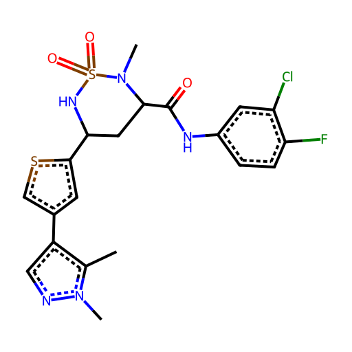 Cc1c(-c2csc(C3CC(C(=O)Nc4ccc(F)c(Cl)c4)N(C)S(=O)(=O)N3)c2)cnn1C